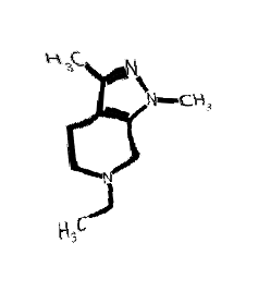 CCN1CCc2c(C)nn(C)c2C1